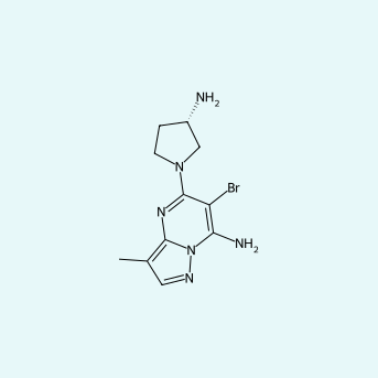 Cc1cnn2c(N)c(Br)c(N3CC[C@H](N)C3)nc12